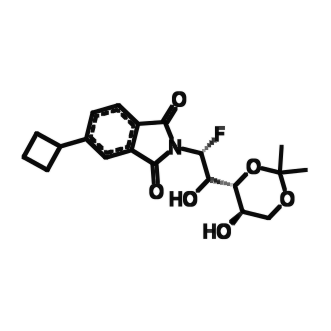 CC1(C)OC[C@@H](O)[C@H](C(O)[C@@H](F)N2C(=O)c3ccc(C4CCC4)cc3C2=O)O1